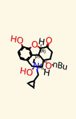 CCCCO[C@@]12CCC(=O)[C@@H]3Oc4c(O)ccc5c4[C@@]31CC[N+](O)(CC1CC1)[C@@H]2C5